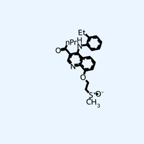 CCCC(=O)c1cnc2c(OCC[S+](C)[O-])cccc2c1Nc1ccccc1CC